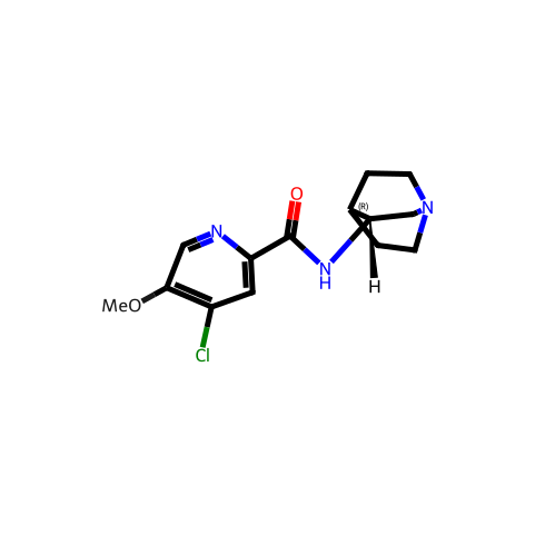 COc1cnc(C(=O)N[C@H]2CN3CCC2CC3)cc1Cl